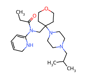 CCC(=O)N(CC1(N2CCN(CC(C)C)CC2)CCOCC1)C1=CC=CCN1